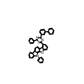 c1ccc(-c2cccc(-c3nc(-c4ccccc4)nc(-c4cccc5oc6c(ccc7c8ccccc8n(-c8ccccc8)c76)c45)n3)c2)cc1